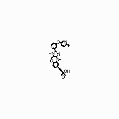 CN1C(=O)C(NC(=O)c2cc(Oc3ccc(F)nc3)ccn2)COc2ccc(C#CC3(O)COC3)cc21